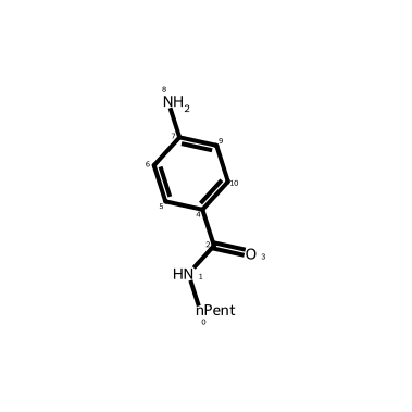 CCCCCNC(=O)c1ccc(N)cc1